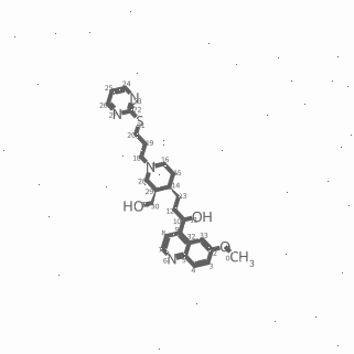 COc1ccc2nccc(C(O)CC[C@@H]3CCN(CCCSc4ncccn4)C[C@@H]3CO)c2c1